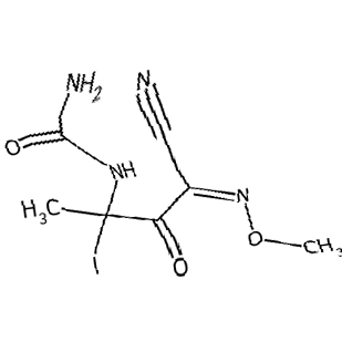 CON=C(C#N)C(=O)C(C)(I)NC(N)=O